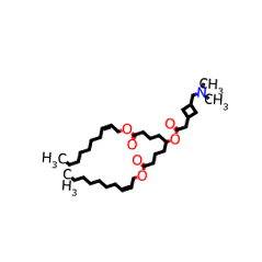 CCCCCCC/C=C\COC(=O)CCCC(CCCC(=O)OC/C=C\CCCCCCC)OC(=O)CC1CC(CN(C)C)C1